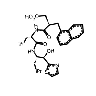 CC(C)C[C@H](NC(=O)[C@@H](CC(=O)O)Cc1cccc2ccccc12)C(=O)N[C@@H](CC(C)C)[C@@H](O)c1nccs1